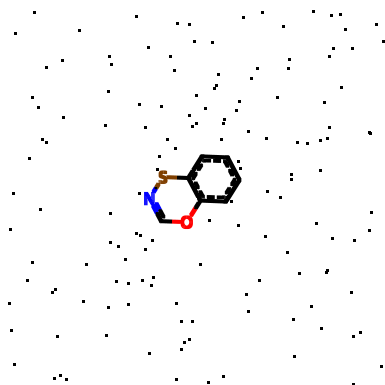 C1=NSc2ccccc2O1